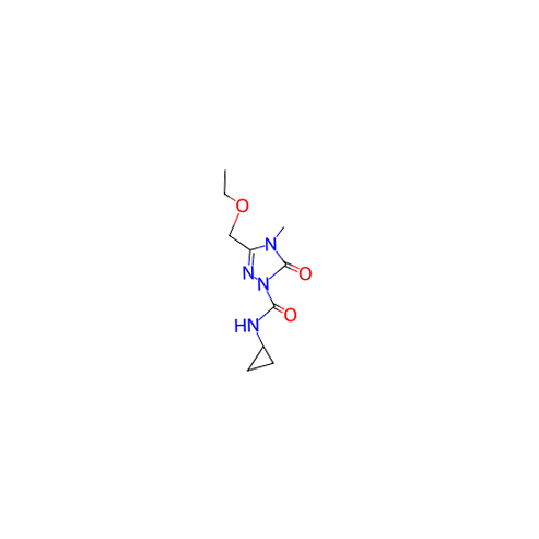 CCOCc1nn(C(=O)NC2CC2)c(=O)n1C